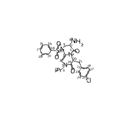 CC(C)N1C=C2N(C(=O)C(N)CN2S(=O)(=O)c2ccccc2)C(Cc2ccc(Cl)cc2)C1=O